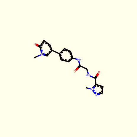 Cn1nccc1C(=O)NCC(=O)Nc1ccc(-c2ccc(=O)n(C)c2)cc1